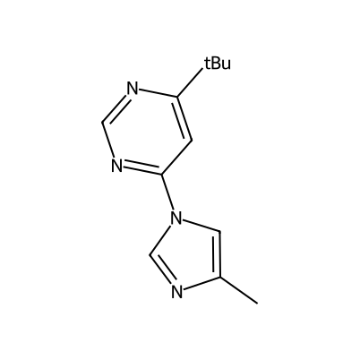 Cc1cn(-c2cc(C(C)(C)C)ncn2)cn1